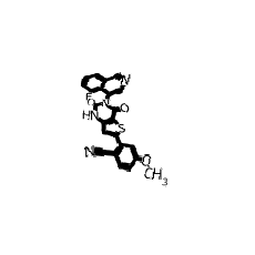 COc1ccc(C#N)c(-c2cc3[nH]c(=O)n(-c4cncc5cccc(F)c45)c(=O)c3s2)c1